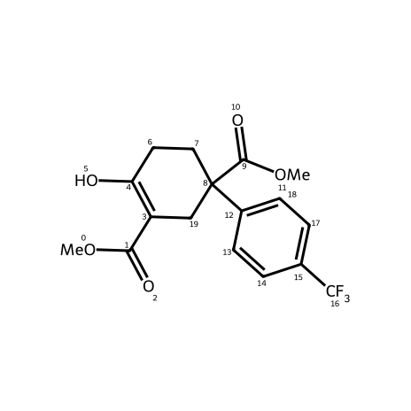 COC(=O)C1=C(O)CCC(C(=O)OC)(c2ccc(C(F)(F)F)cc2)C1